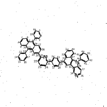 c1ccc(-c2c3ccccc3c(-c3ccccc3)c3cc(-c4cccc(-c5ccc(-c6cc7c8cnccc8n(-c8ccccc8)c7c7ccccc67)cc5)n4)ccc23)cc1